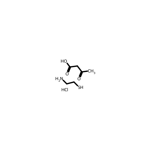 CC(=O)CC(=O)O.Cl.NCCS